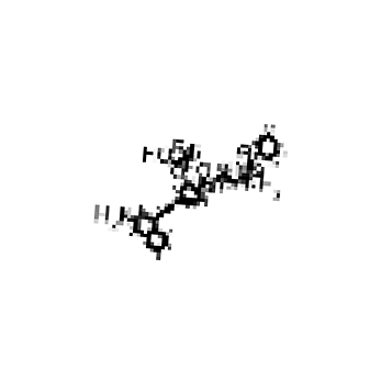 Nc1cc2ccccc2c(C#Cc2ccc(C(=O)OC(=O)C[C@@H](N)NS(=O)(=O)c3ccccc3)cc2)n1.O=C(O)C(F)(F)F